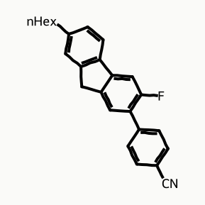 CCCCCCc1ccc2c(c1)Cc1cc(-c3ccc(C#N)cc3)c(F)cc1-2